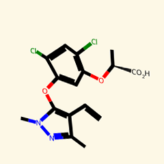 C=Cc1c(C)nn(C)c1Oc1cc(O[C@@H](C)C(=O)O)c(Cl)cc1Cl